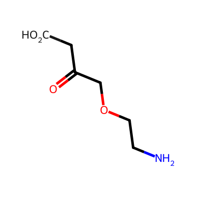 NCCOCC(=O)CC(=O)O